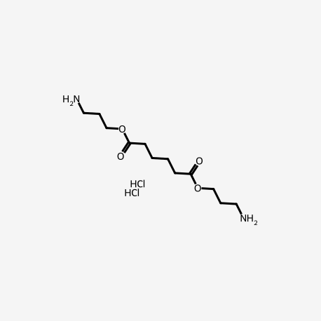 Cl.Cl.NCCCOC(=O)CCCCC(=O)OCCCN